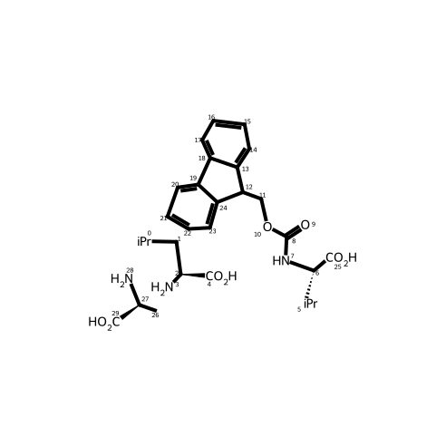 CC(C)C[C@H](N)C(=O)O.CC(C)[C@H](NC(=O)OCC1c2ccccc2-c2ccccc21)C(=O)O.C[C@H](N)C(=O)O